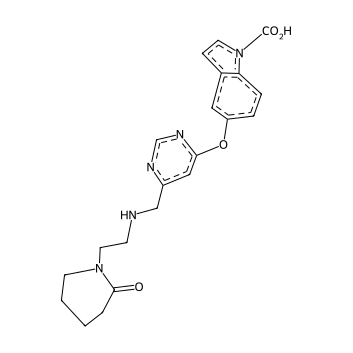 O=C1CCCCN1CCNCc1cc(Oc2ccc3c(ccn3C(=O)O)c2)ncn1